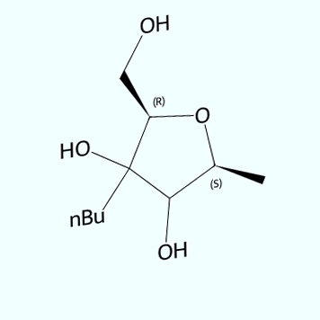 CCCCC1(O)C(O)[C@H](C)O[C@@H]1CO